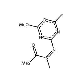 COc1nc(C)nc(N=S(C)C(=O)SC)n1